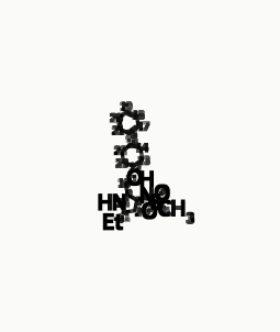 CCC1C[C@H](NS(C)(=O)=O)[C@H](CO[C@H]2CC[C@@H](c3ccccc3)CC2)N1